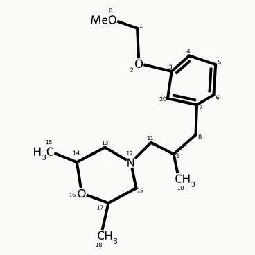 COCOc1cccc(CC(C)CN2CC(C)OC(C)C2)c1